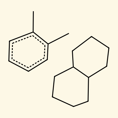 C1CCC2CCCCC2C1.Cc1ccccc1C